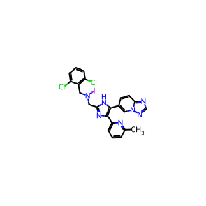 Cc1cccc(-c2nc(CN(I)Cc3c(Cl)cccc3Cl)[nH]c2-c2ccc3ncnn3c2)n1